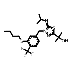 CCCCSc1cc(Cn2nc(C(C)(C)O)s/c2=N/C(C)C)ccc1C(F)(F)F